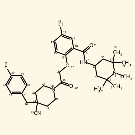 CN1C(C)(C)CC(NC(=O)c2cc(Cl)ccc2OCC(=O)N2CCC(C#N)(Cc3ccc(F)cc3)CC2)CC1(C)C